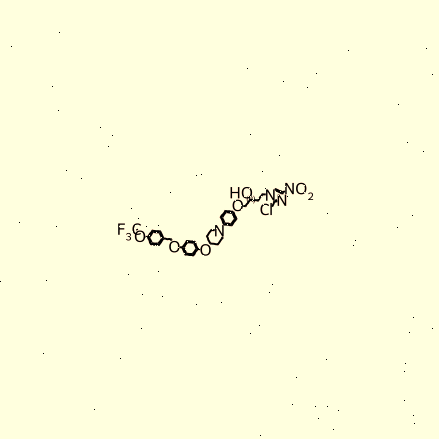 O=[N+]([O-])c1cn(CC[C@@H](O)COc2ccc(N3CCC(Oc4ccc(OCc5ccc(OC(F)(F)F)cc5)cc4)CC3)cc2)c(Cl)n1